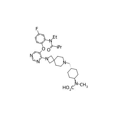 CCN(C(=O)C(C)C)c1cc(F)ccc1Oc1cncnc1N1CC2(CCN(C[C@H]3CC[C@H](N(C)C(=O)O)CC3)CC2)C1